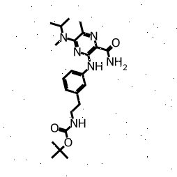 Cc1nc(C(N)=O)c(Nc2cccc(CCNC(=O)OC(C)(C)C)c2)nc1N(C)C(C)C